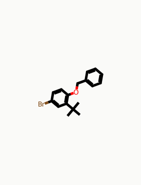 CC(C)(C)c1cc(Br)ccc1OCc1ccccc1